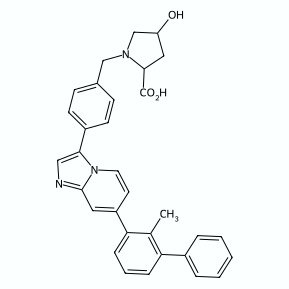 Cc1c(-c2ccccc2)cccc1-c1ccn2c(-c3ccc(CN4CC(O)CC4C(=O)O)cc3)cnc2c1